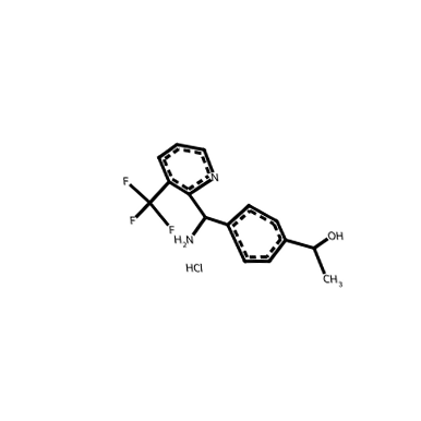 CC(O)c1ccc(C(N)c2ncccc2C(F)(F)F)cc1.Cl